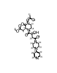 COC(=O)C[C@H]1C(=O)N(OC(C)=O)CCN1C(=O)C(O)CC(=O)N1CCN(c2ccncc2)CC1